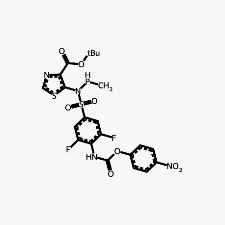 CPN(c1scnc1C(=O)OC(C)(C)C)S(=O)(=O)c1cc(F)c(NC(=O)Oc2ccc([N+](=O)[O-])cc2)c(F)c1